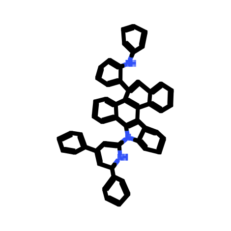 C1=C(c2ccccc2)C=C(n2c3ccccc3c3c4c5ccccc5cc(-c5ccccc5Nc5ccccc5)c4c4ccccc4c32)NC1c1ccccc1